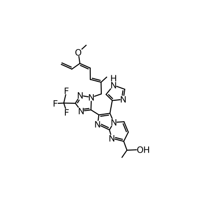 C=C/C(=C\C=C(/C)Cn1nc(C(F)(F)F)nc1-c1nc2nc(C(C)O)ccn2c1-c1c[nH]cn1)OC